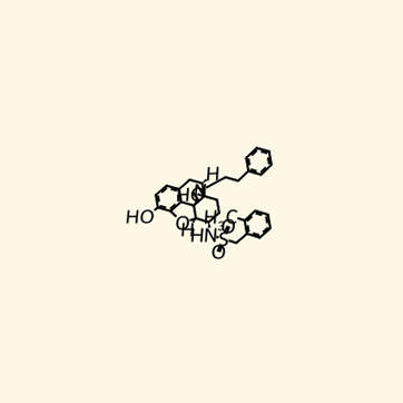 Cc1ccccc1CS(=O)(=O)N[C@@H]1CC[C@@]2(O)[C@H]3Cc4ccc(O)c5c4[C@@]2(CCN3CCc2ccccc2)[C@H]1O5